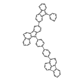 c1ccc(-n2c3ccccc3c3ccc(-c4ccc5c(c4)c4ccc6ccccc6c4n5-c4ccc(-c5ccc(-c6ccc7c8c(cccc68)-c6ccccc6-7)cc5)cc4)cc32)cc1